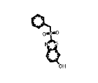 O=S(=O)(Cc1ccccc1)c1nc2ccc(O)cc2s1